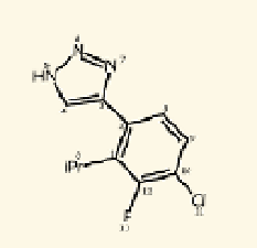 CC(C)c1c(-c2c[nH]nn2)ccc(Cl)c1F